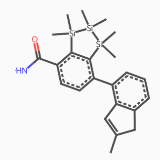 CC1=Cc2c(cccc2-c2ccc(C([NH])=O)c3c2[Si](C)(C)[Si](C)(C)[Si]3(C)C)C1